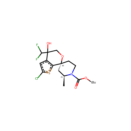 C[C@H]1C[C@@]2(CCN1C(=O)OC(C)(C)C)OCC(O)(C(F)F)c1cc(Cl)sc12